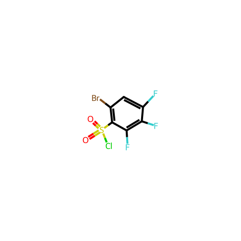 O=S(=O)(Cl)c1c(Br)cc(F)c(F)c1F